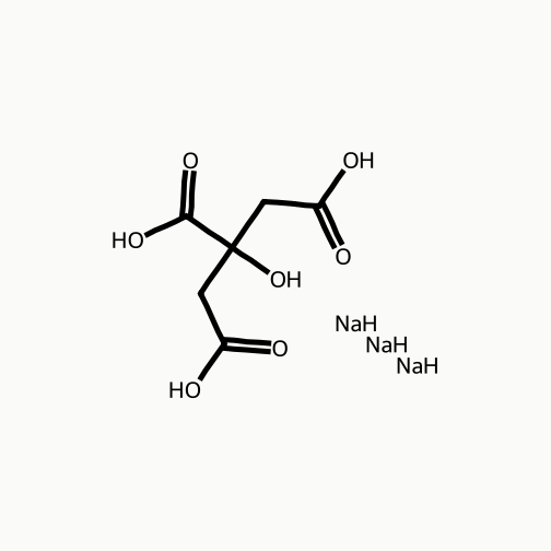 O=C(O)CC(O)(CC(=O)O)C(=O)O.[NaH].[NaH].[NaH]